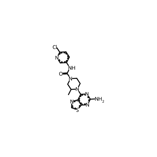 CC1CN(C(=O)Nc2ccc(Cl)nc2)CCN1c1nc(N)nc2scnc12